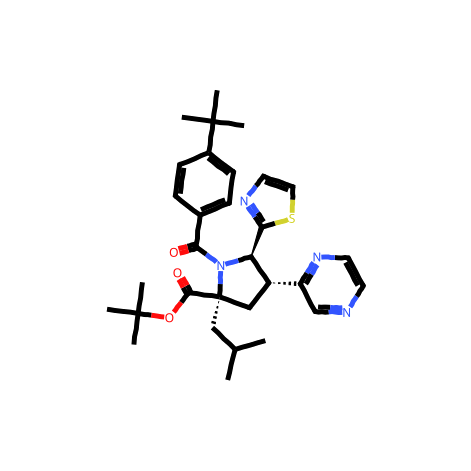 CC(C)C[C@@]1(C(=O)OC(C)(C)C)C[C@@H](c2cnccn2)[C@H](c2nccs2)N1C(=O)c1ccc(C(C)(C)C)cc1